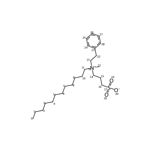 CCCCCCCCCCCC[N+](C)(CCCS(=O)(=O)[O-])CCc1ccccc1